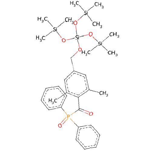 Cc1cc(CO[Si](O[Si](C)(C)C)(O[Si](C)(C)C)O[Si](C)(C)C)cc(C)c1C(=O)P(=O)(c1ccccc1)c1ccccc1